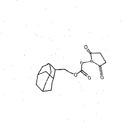 O=C(OCC1C2CC3CC(C2)CC1C3)ON1C(=O)CCC1=O